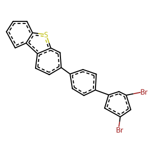 Brc1cc(Br)cc(-c2ccc(-c3ccc4c(c3)sc3ccccc34)cc2)c1